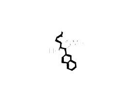 CNC[C@@H](c1ccc2ccccc2c1)[C@@H](O)c1ccc(Cl)s1